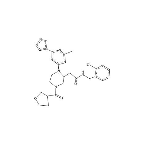 Cc1cc(N2CCN(C(=O)C3CCOC3)CC2CC(=O)NCc2ccccc2Cl)nc(-n2ccnc2)n1